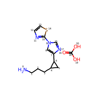 NCCCC1CC1c1cn(-c2nccs2)cn1.O=C(O)O